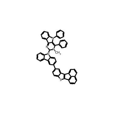 CN1C(c2ccccc2)=c2c(c3ccccc3n2-c2ccccc2)=NC1n1c2ccccc2c2cc(-c3ccc4sc5c(c4c3)-c3cccc4cccc-5c34)ccc21